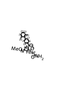 CON=C1C[C@@H](C(=O)NCC(N)=O)N(C(=O)c2ccc(-c3c(C)cccc3C)cc2)C1